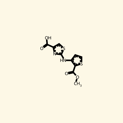 COC(=O)c1sccc1Nc1nc(C(=O)O)cs1